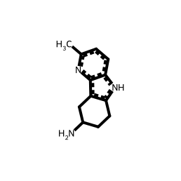 Cc1ccc2[nH]c3c(c2n1)CC(N)CC3